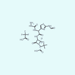 CC1(C)S[C@@H]2C(NC(=O)C(NC(=O)NN)c3csc(NC=O)n3)C(=O)N2[C@H]1C(=O)O.O=C(O)C(F)(F)F